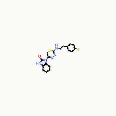 O=c1[nH]c2ccccc2n1C1=NN=C(NCCc2ccc(F)cc2)SC1